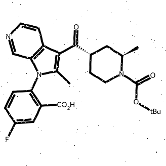 Cc1c(C(=O)[C@H]2CCN(C(=O)OC(C)(C)C)[C@H](C)C2)c2ccncc2n1-c1ccc(F)cc1C(=O)O